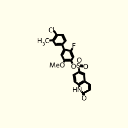 COc1cc(-c2ccc(Cl)c(C)c2)c(F)cc1OS(=O)(=O)c1ccc2[nH]c(=O)ccc2c1